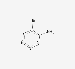 Nc1cnncc1Br